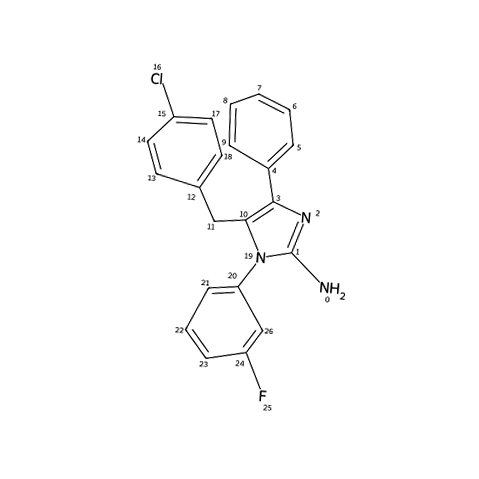 Nc1nc(-c2ccccc2)c(Cc2ccc(Cl)cc2)n1-c1cccc(F)c1